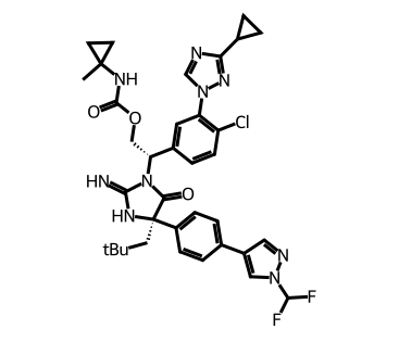 CC(C)(C)C[C@]1(c2ccc(-c3cnn(C(F)F)c3)cc2)NC(=N)N([C@H](COC(=O)NC2(C)CC2)c2ccc(Cl)c(-n3cnc(C4CC4)n3)c2)C1=O